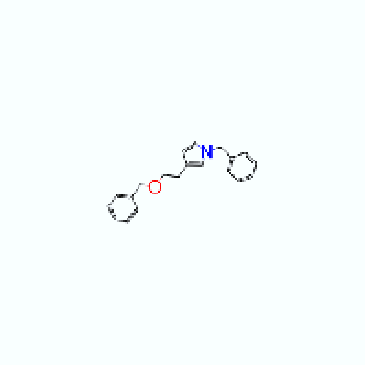 c1ccc(COCCc2ccn(Cc3ccccc3)c2)cc1